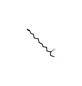 C=CCCCCCCCCCC(Cl)CC